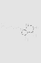 C[Si](C)(C)CCOCn1cc(Cl)c2c(Cl)c(Br)cnc21